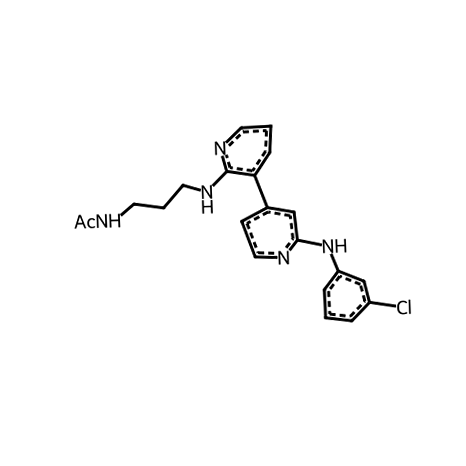 CC(=O)NCCCNc1ncccc1-c1ccnc(Nc2cccc(Cl)c2)c1